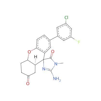 CN1C(=O)C2(N=C1N)c1cc(-c3cc(F)cc(Cl)c3)ccc1OC1CCC(=O)C[C@@H]12